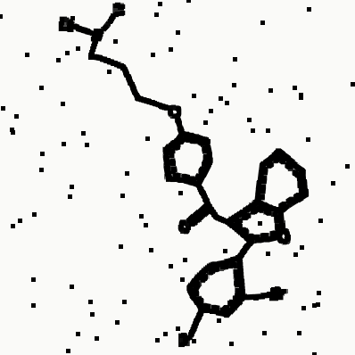 CCN(CC)CCCOc1ccc(C(=O)c2c(-c3ccc(Br)cc3Br)oc3ccccc23)cc1